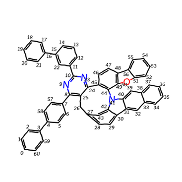 c1ccc(-c2ccc(-c3nc(-c4cccc(-c5ccccc5)c4)nc4c3Cc3ccc5c6cc7ccccc7cc6n(c5c3)-c3c-4ccc4c3oc3ccccc34)cc2)cc1